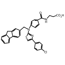 O=C(O)CCNC(=O)c1ccc(N(Cc2ccc3c(c2)Cc2ccccc2-3)c2nc(-c3ccc(Cl)cc3)cs2)cc1